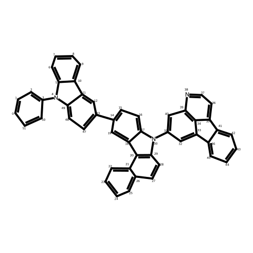 c1ccc(-n2c3ccccc3c3cc(-c4ccc5c(c4)c4c6ccccc6ccc4n5-c4cc5c6c(ccnc6c4)-c4ccccc4-5)ccc32)cc1